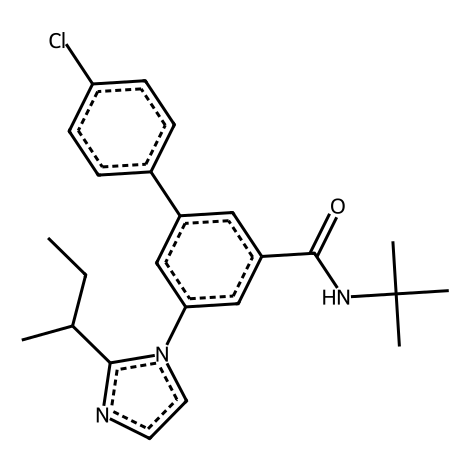 CCC(C)c1nccn1-c1cc(C(=O)NC(C)(C)C)cc(-c2ccc(Cl)cc2)c1